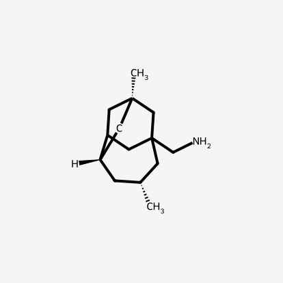 C[C@@H]1C[C@H]2C[C@@]3(C)CC2CC(CN)(C1)C3